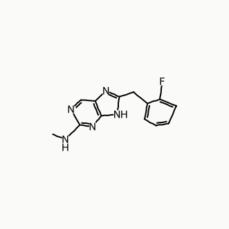 CNc1ncc2nc(Cc3ccccc3F)[nH]c2n1